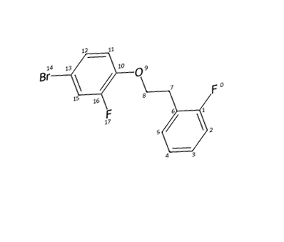 Fc1ccccc1CCOc1ccc(Br)cc1F